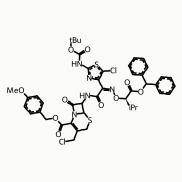 COc1ccc(COC(=O)C2=C(CCl)CSC3C(NC(=O)/C(=N\O[C@@H](C(=O)OC(c4ccccc4)c4ccccc4)C(C)C)c4nc(NC(=O)OC(C)(C)C)sc4Cl)C(=O)N23)cc1